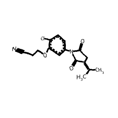 CC(C)=C1CC(=O)N(c2ccc(Cl)c(OCCC#N)c2)C1=O